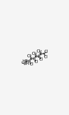 CBBB(Cl)B(Cl)B(Cl)B(Cl)B(Cl)B(Cl)[C](Cl)Cl